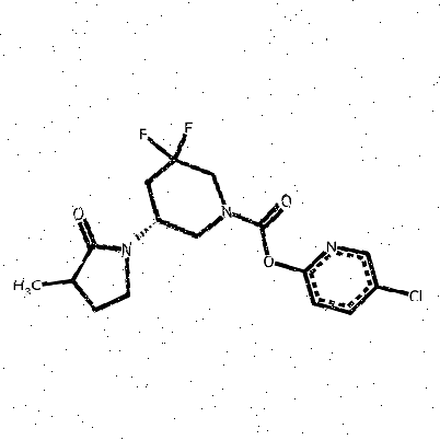 CC1CCN([C@H]2CN(C(=O)Oc3ccc(Cl)cn3)CC(F)(F)C2)C1=O